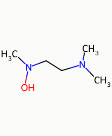 CN(C)CCN(C)O